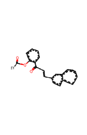 CCC(=O)Oc1ccccc1C(=O)C=Cc1ccc2ccccc2c1